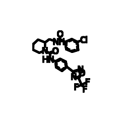 O=C(NCC1CCCCN1C(=O)Nc1ccc(-c2noc(C(F)(F)F)n2)cc1)c1cccc(Cl)c1